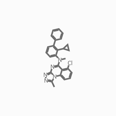 Cc1nnc2nc(N(C)c3cccc(-c4ccccc4)c3C3CC3)c3c(Cl)cccc3n12